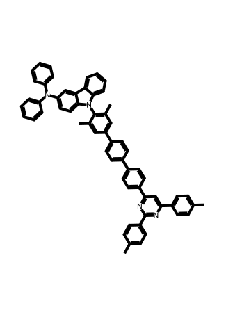 Cc1ccc(-c2cc(-c3ccc(-c4ccc(-c5cc(C)c(-n6c7ccccc7c7cc(N(c8ccccc8)c8ccccc8)ccc76)c(C)c5)cc4)cc3)nc(-c3ccc(C)cc3)n2)cc1